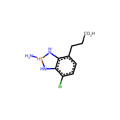 N[SH]1Nc2c(Br)ccc(CCC(=O)O)c2N1